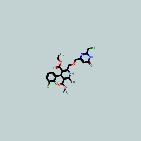 CCOC(=O)C1=C(COCc2cc(=O)[nH]c(CCl)n2)NC(C)=C(C(=O)OC)C1c1cccc(Cl)c1Cl